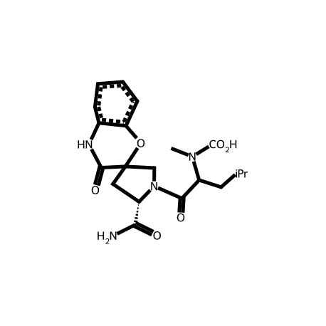 CC(C)CC(C(=O)N1CC2(C[C@H]1C(N)=O)Oc1ccccc1NC2=O)N(C)C(=O)O